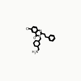 NCC1CCCC(Cn2c(CCc3ccccc3)nc3ccc(Cl)cc3c2=O)C1